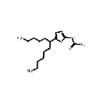 BC(=O)Nc1ncc(C(CCCCC)CCCCCC)s1